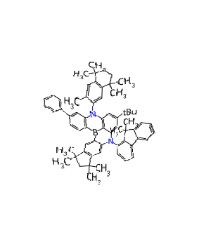 Cc1cc2c(cc1N1c3cc(-c4ccccc4)ccc3B3c4cc5c(cc4N(c4cccc6c4C(C)(C)c4ccccc4-6)c4cc(C(C)(C)C)cc1c43)C(C)(C)CC5(C)C)C(C)(C)CCC2(C)C